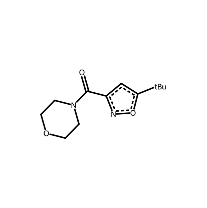 CC(C)(C)c1cc(C(=O)N2CCOCC2)no1